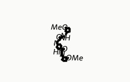 COc1cccc(C=NNC(=O)CCN(C)c2ccc(C(=O)NN=Cc3cccc(OC)c3)cc2)c1